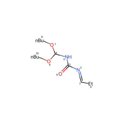 CCC=NC(=O)NC(OCCCC)OCCCC